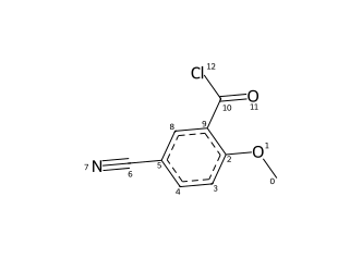 COc1ccc(C#N)cc1C(=O)Cl